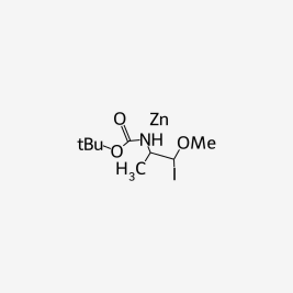 COC(I)C(C)NC(=O)OC(C)(C)C.[Zn]